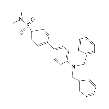 CN(C)S(=O)(=O)c1ccc(-c2ccc(N(Cc3ccccc3)Cc3ccccc3)cc2)cc1